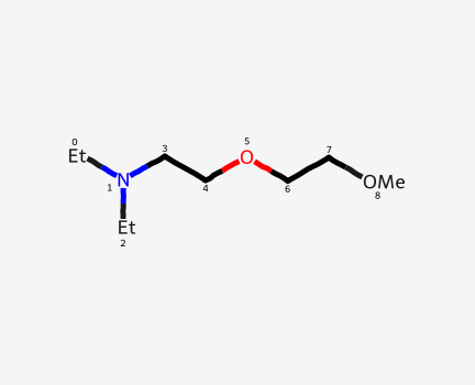 CCN(CC)CCOCCOC